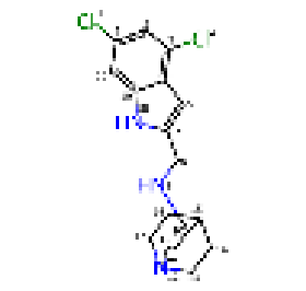 Clc1cc(Cl)c2cc(CNC3CN4CCC3CC4)[nH]c2c1